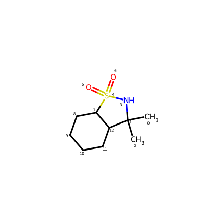 CC1(C)NS(=O)(=O)C2CCCCC21